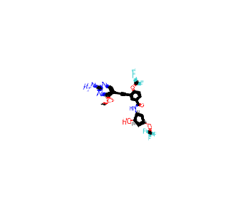 COc1nc(N)ncc1C#Cc1cc(C(=O)N[C@H]2C[C@H](OC(F)(F)F)C[C@@H]2O)ccc1OC(F)F